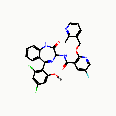 CCOc1cc(Cl)cc(Cl)c1C1=NC(NC(=O)c2cc(F)cnc2OCc2cccnc2C)C(=O)Nc2ccccc21